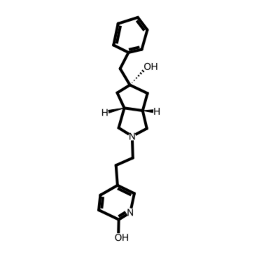 Oc1ccc(CCN2C[C@@H]3C[C@@](O)(Cc4ccccc4)C[C@@H]3C2)cn1